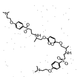 CC(COC(=O)/C=C\C(=O)OCC(C)NCCS(=O)(=O)c1ccc(OCCN(C)C)cc1)NCCS(=O)(=O)c1ccc(OCCN(C)C)cc1